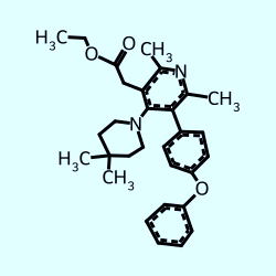 CCOC(=O)Cc1c(C)nc(C)c(-c2ccc(Oc3ccccc3)cc2)c1N1CCC(C)(C)CC1